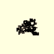 CC(C)(C)[S+]([O-])N[C@@H](c1cccnc1Cl)C1(O)CCC(F)(F)CC1